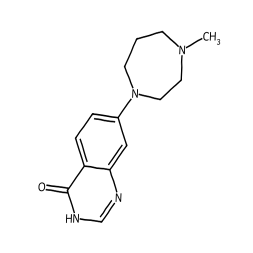 CN1CCCN(c2ccc3c(=O)[nH]cnc3c2)CC1